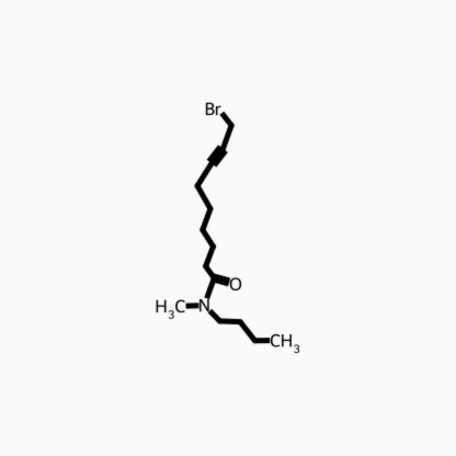 CCCCN(C)C(=O)CCCCCC#CCBr